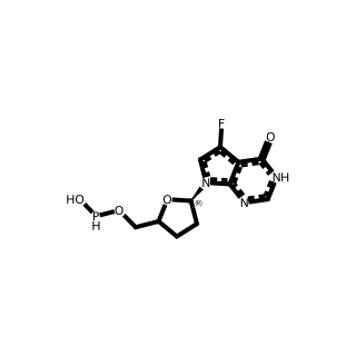 O=c1[nH]cnc2c1c(F)cn2[C@H]1CCC(COPO)O1